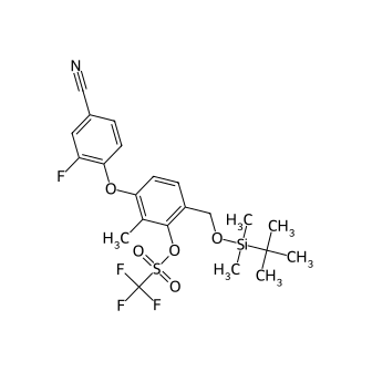 Cc1c(Oc2ccc(C#N)cc2F)ccc(CO[Si](C)(C)C(C)(C)C)c1OS(=O)(=O)C(F)(F)F